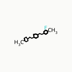 CC1=CCC(CCc2ccc(CCc3ccc(C)c(F)c3)cc2)CC1